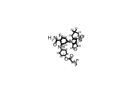 CN(C)CC(=O)O[C@H]1CC[C@H](Nc2cc(-n3c4c(c5c3CC(C)(C)CS5(=O)=O)COC4)cc(F)c2C(N)=O)CC1